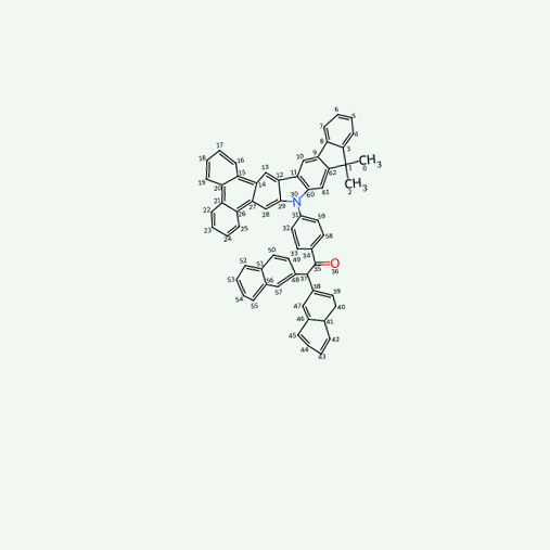 CC1(C)c2ccccc2-c2cc3c4cc5c6ccccc6c6ccccc6c5cc4n(-c4ccc(C(=O)C(C5=CCC6C=CC=CC6=C5)c5ccc6ccccc6c5)cc4)c3cc21